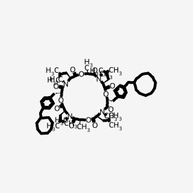 CC(C)C[C@H]1C(=O)O[C@H](Cc2ccc(CC3CCCCCCC3)cc2)C(=O)N(C)[C@@H](CC(C)C)C(=O)O[C@H](C)C(=O)N(C)[C@@H](CC(C)C)C(=O)O[C@H](Cc2ccc(CC3CCCCCCCCCC3)cc2)C(=O)N(C)[C@@H](CC(C)C)C(=O)O[C@H](C)C(=O)N1C